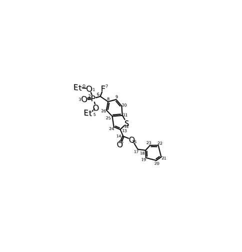 CCOP(=O)(OCC)C(F)c1ccc2sc(C(=O)OCc3ccccc3)cc2c1